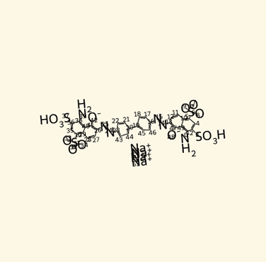 Nc1c(S(=O)(=O)O)cc(S(=O)(=O)[O-])c2ccc(N=Nc3ccc(-c4ccc(N=Nc5ccc6c(S(=O)(=O)[O-])cc(S(=O)(=O)O)c(N)c6c5[O-])cc4)cc3)c([O-])c12.[Na+].[Na+].[Na+].[Na+]